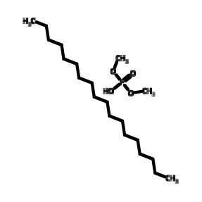 CCCCCCCCCCCCCCCCCC.COP(=O)(O)OC